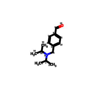 CC(C)N(Cc1ccc(C=O)cc1)C(C)C